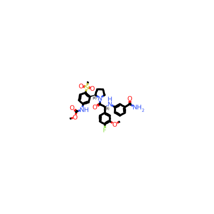 COC(=O)Nc1ccc(S(C)(=O)=O)c([C@H]2CCCN2C(=O)[C@H](Nc2cccc(C(N)=O)c2)c2ccc(F)c(OC)c2)c1